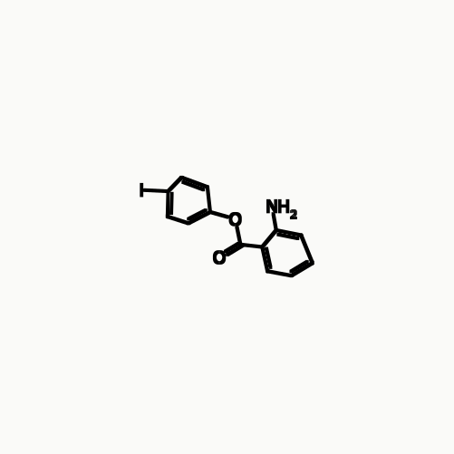 Nc1ccccc1C(=O)Oc1ccc(I)cc1